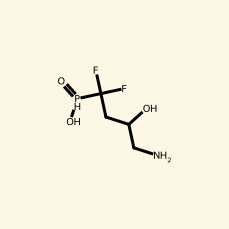 NCC(O)CC(F)(F)[PH](=O)O